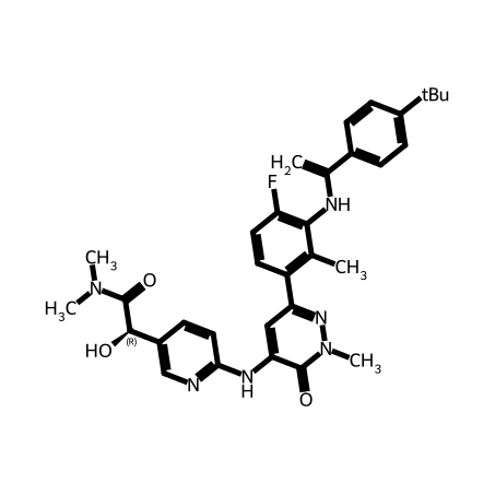 C=C(Nc1c(F)ccc(-c2cc(Nc3ccc([C@@H](O)C(=O)N(C)C)cn3)c(=O)n(C)n2)c1C)c1ccc(C(C)(C)C)cc1